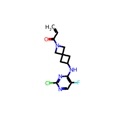 C=CC(=O)N1CC2(CC(Nc3nc(Cl)ncc3F)C2)C1